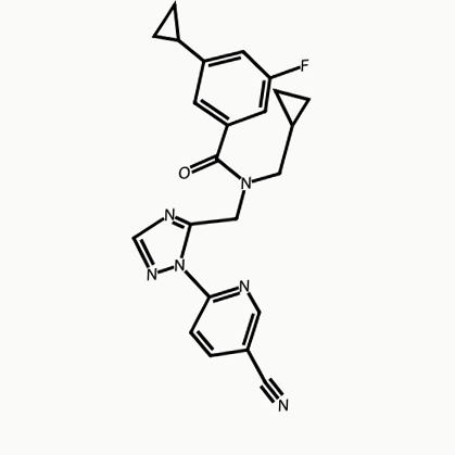 N#Cc1ccc(-n2ncnc2CN(CC2CC2)C(=O)c2cc(F)cc(C3CC3)c2)nc1